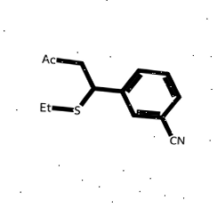 CCSC(CC(C)=O)c1cccc(C#N)c1